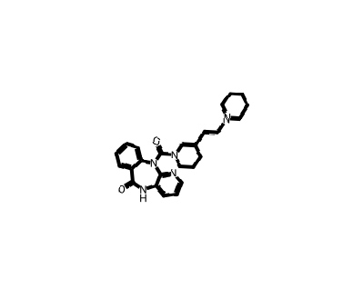 O=C1Nc2cccnc2N(C(=O)N2CCCC(CCN3CCCCC3)C2)c2ccccc21